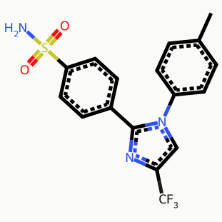 Cc1ccc(-n2cc(C(F)(F)F)nc2-c2ccc(S(N)(=O)=O)cc2)cc1